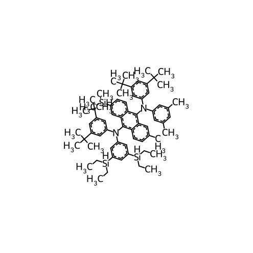 CC[SiH](CC)c1cc(N(c2cc(C(C)(C)C)cc(C(C)(C)C)c2)c2c3ccc(C)cc3c(N(c3cc(C)cc(C)c3)c3cc(C(C)(C)C)cc(C(C)(C)C)c3)c3ccc([SiH](C)C)cc23)cc([SiH](CC)CC)c1